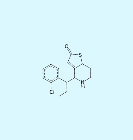 CCC(c1ccccc1Cl)C1NCCC2SC(=O)C=C21